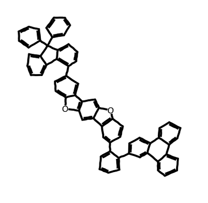 c1ccc(C2(c3ccccc3)c3ccccc3-c3c(-c4ccc5oc6cc7c(cc6c5c4)oc4ccc(-c5ccccc5-c5ccc6c8ccccc8c8ccccc8c6c5)cc47)cccc32)cc1